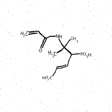 C=CC(=O)NC(C)(C)C(C=CC(=O)O)S(=O)(=O)O